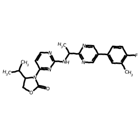 Cc1cc(-c2cnc(C(C)Nc3nccc(N4C(=O)OCC4C(C)C)n3)nc2)ccc1F